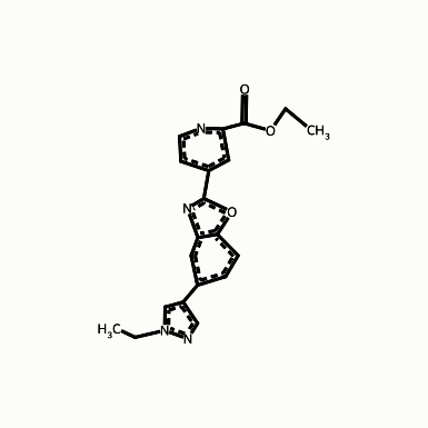 CCOC(=O)c1cc(-c2nc3cc(-c4cnn(CC)c4)ccc3o2)ccn1